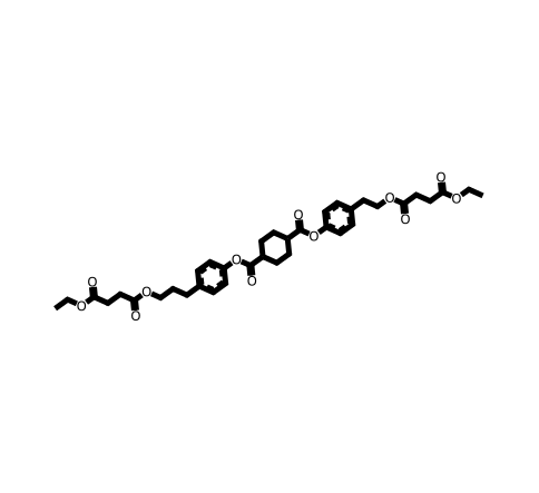 CCOC(=O)CCC(=O)OCCCc1ccc(OC(=O)C2CCC(C(=O)Oc3ccc(CCOC(=O)CCC(=O)OCC)cc3)CC2)cc1